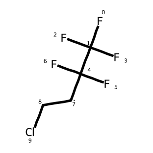 FC(F)(F)C(F)(F)[CH]CCl